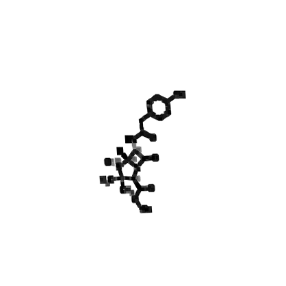 CC(C)(C)OC(=O)[C@@H]1N2C(=O)[C@@H](NC(=O)Cc3ccc(O)cc3)[C@H]2[S@@+]([O-])C1(C)C